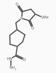 CSC1CC(=O)N(CC2CCC(C(=O)NN)CC2)C1=O